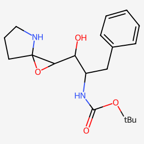 CC(C)(C)OC(=O)NC(Cc1ccccc1)C(O)C1OC12CCCN2